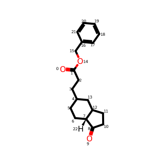 O=C(CCC1CC[C@H]2C(=O)CCC2C1)OCc1ccccc1